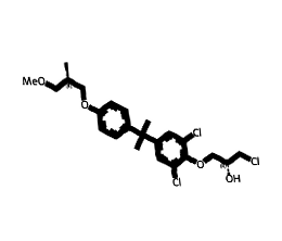 COC[C@@H](C)COc1ccc(C(C)(C)c2cc(Cl)c(OC[C@@H](O)CCl)c(Cl)c2)cc1